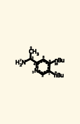 CCCCc1cnc(C(C)N)cc1CCCC